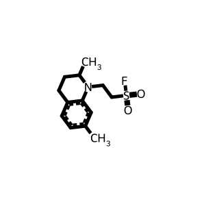 Cc1ccc2c(c1)N(CCS(=O)(=O)F)C(C)CC2